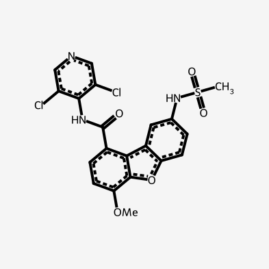 COc1ccc(C(=O)Nc2c(Cl)cncc2Cl)c2c1oc1ccc(NS(C)(=O)=O)cc12